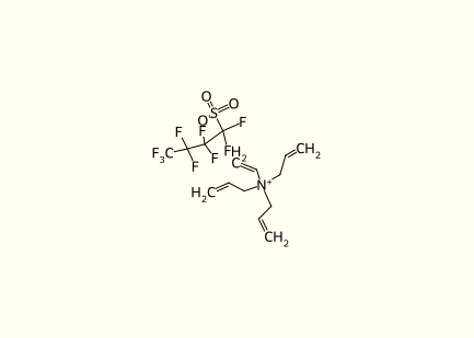 C=CC[N+](C=C)(CC=C)CC=C.O=S(=O)([O-])C(F)(F)C(F)(F)C(F)(F)C(F)(F)F